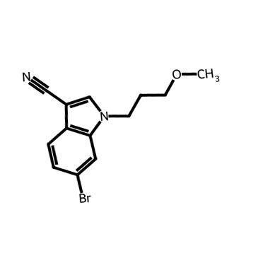 COCCCn1cc(C#N)c2ccc(Br)cc21